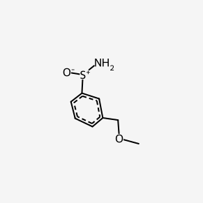 COCc1cccc([S+](N)[O-])c1